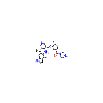 Cc1ccc(C(=O)N2CCN(C)CC2)cc1/C=C/c1cncc(C#N)c1Nc1ccc2[nH]ccc2c1C